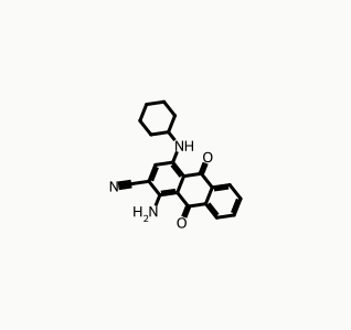 N#Cc1cc(NC2CCCCC2)c2c(c1N)C(=O)c1ccccc1C2=O